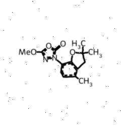 COc1nn(-c2ccc(C)c3c2OC(C)(C)C3)c(=O)o1